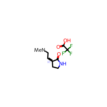 CNC/C=C1/CCNC1=O.O=C(O)C(F)(F)F